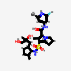 Cc1c(S(=O)(=O)NC2C(C)CCC2CC(C)(O)CO)c2n(c1C(=O)Nc1cc(F)nc(C#N)c1)CCC2